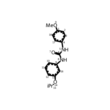 COc1ccc(NC(=O)Nc2cccc(OC(C)C)c2)cc1